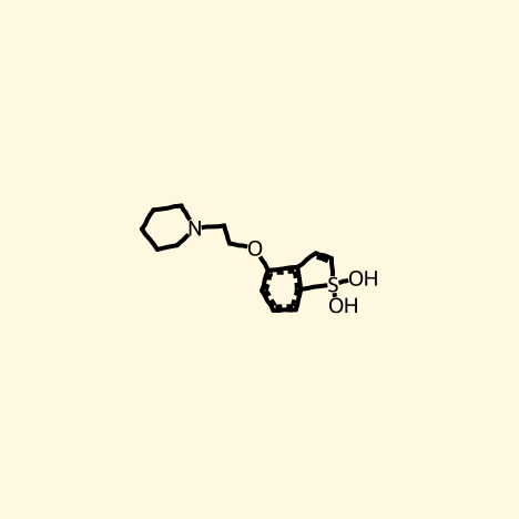 OS1(O)C=Cc2c(OCCN3CCCCC3)cccc21